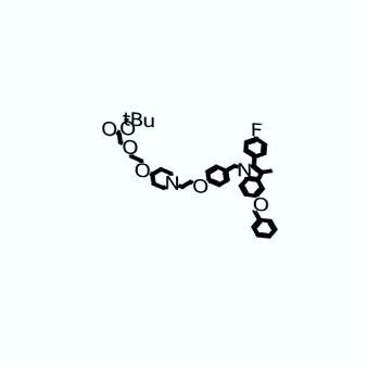 Cc1c(-c2ccc(F)cc2)n(Cc2ccc(OCCN3CCC(OCCOCC(=O)OC(C)(C)C)CC3)cc2)c2ccc(OCc3ccccc3)cc12